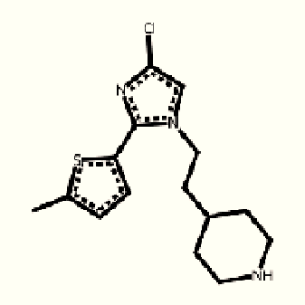 Cc1ccc(-c2nc(Cl)cn2CCC2CCNCC2)s1